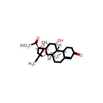 CCOC(=O)C(=O)[C@@]12CC[C@@]3(OC(C)O1)[C@@H]1CCC4=CC(=O)CC[C@]4(C)[C@H]1[C@@H](O)C[C@]23C